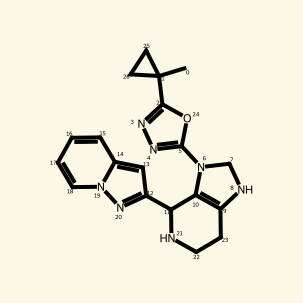 CC1(c2nnc(N3CNC4=C3C(c3cc5ccccn5n3)NCC4)o2)CC1